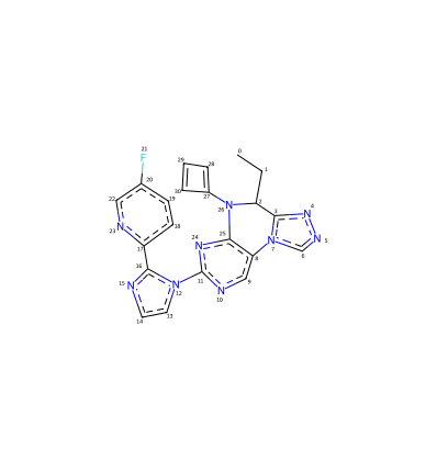 CCC1c2nncn2-c2cnc(-n3ccnc3-c3ccc(F)cn3)nc2N1C1=CC=C1